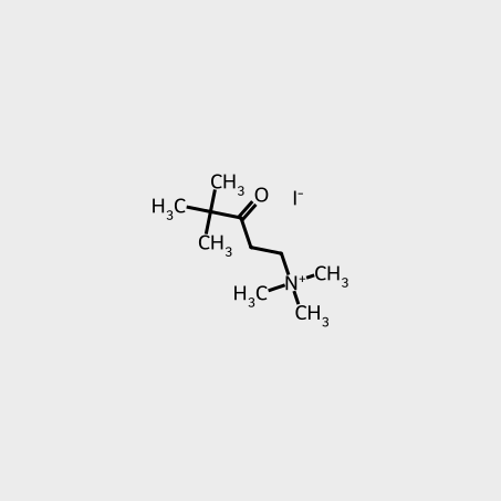 CC(C)(C)C(=O)CC[N+](C)(C)C.[I-]